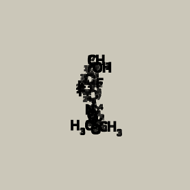 CC(C[C@H]1CC(c2ccc(-c3c(F)cc(C[C@@H](C)O)cc3F)c(F)c2)=NO1)S(C)(=O)=O